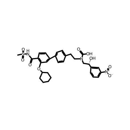 CS(=O)(=O)NC(=O)c1ccc(-c2ccc(CCN(C[C@H](O)c3cccc([N+](=O)[O-])c3)C(=O)O)cc2)cc1OC1CCCCC1